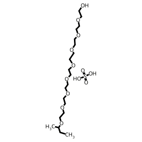 CCC(C)OCCOCCOCCOCCOCCOCCOCCOCCO.O=S(=O)(O)O